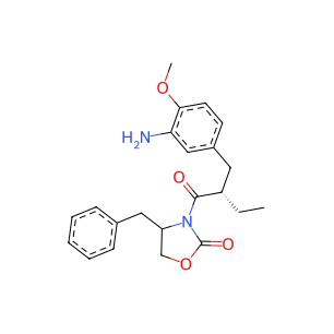 CC[C@@H](Cc1ccc(OC)c(N)c1)C(=O)N1C(=O)OCC1Cc1ccccc1